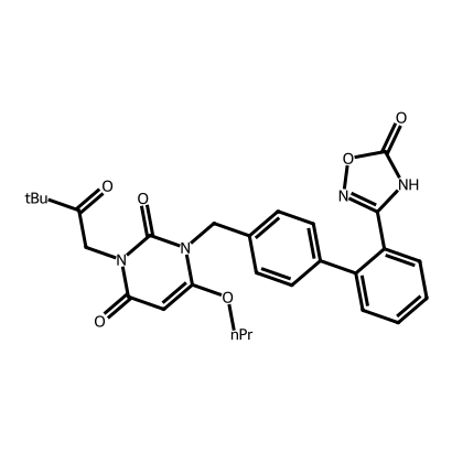 CCCOc1cc(=O)n(CC(=O)C(C)(C)C)c(=O)n1Cc1ccc(-c2ccccc2-c2noc(=O)[nH]2)cc1